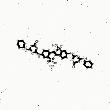 O=S(=O)(O)c1cc(Nc2nc(Cl)nc(Nc3ccccc3)n2)ccc1C=Cc1ccc(Nc2nc(Cl)nc(Nc3ccccc3)n2)cc1S(=O)(=O)O.[K].[Na]